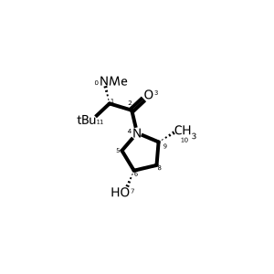 CN[C@H](C(=O)N1C[C@@H](O)C[C@H]1C)C(C)(C)C